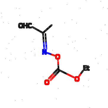 CCOC(=O)ON=C(C)C=O